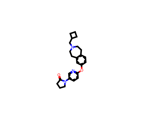 O=C1CCCN1c1ccc(Oc2ccc3c(c2)CCN(CC2CCC2)CC3)nc1